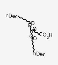 CCCCCCCCCCCCCCCCCC(=O)OCCN(CCOC(=O)CCCCCCCCCCCCCCCCC)C(=O)CCCC(=O)O